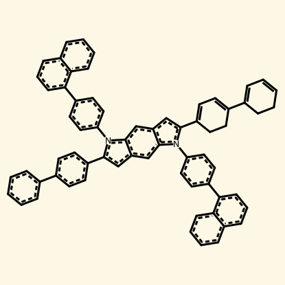 C1=CCCC(C2=CC=C(c3cc4cc5c(cc(-c6ccc(-c7ccccc7)cc6)n5-c5ccc(-c6cccc7ccccc67)cc5)cc4n3-c3ccc(-c4cccc5ccccc45)cc3)CC2)=C1